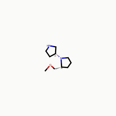 COC[C@H]1CCCN1[C@@H]1CCNC1